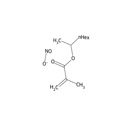 C=C(C)C(=O)OC(C)CCCCCC.O=[NH+][O-]